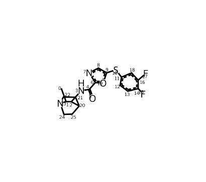 CC1C(NC(=O)c2ncc(Sc3ccc(F)c(F)c3)o2)C2CCN1CC2